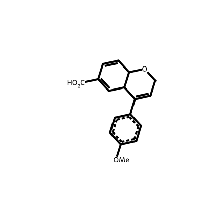 COc1ccc(C2=CCOC3C=CC(C(=O)O)=CC23)cc1